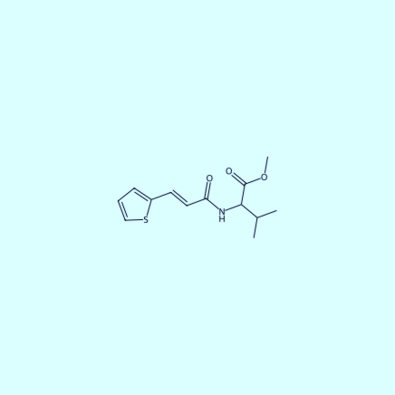 COC(=O)C(NC(=O)/C=C/c1cccs1)C(C)C